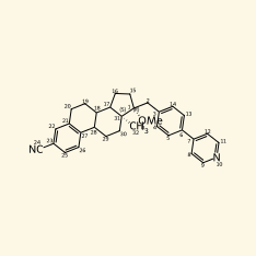 CO[C@@]1(Cc2ccc(-c3ccncc3)cc2)CCC2C3CCc4cc(C#N)ccc4C3CC[C@@]21C